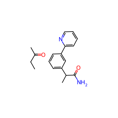 CC(C(N)=O)c1cccc(-c2ccccn2)c1.CCC(C)=O